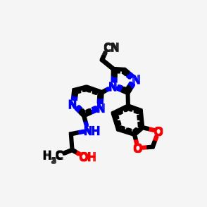 CC(O)CNc1nccc(-n2c(CC#N)cnc2-c2ccc3c(c2)OCO3)n1